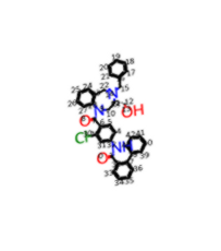 O=C(Nc1ccc(C(=O)N2C[C@@H](CO)N(Cc3ccccc3)Cc3ccccc32)c(Cl)c1)c1ccccc1-c1ccccc1